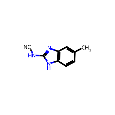 Cc1ccc2[nH]c(NC#N)nc2c1